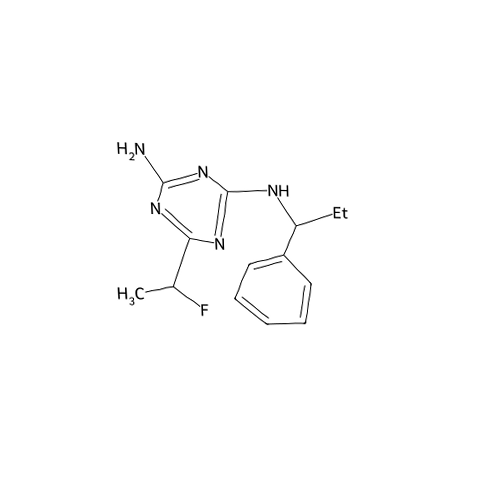 CCC(Nc1nc(N)nc(C(C)F)n1)c1ccccc1